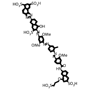 COc1cc(N=Nc2c(S(=O)(=O)O)cc3cc(-n4nc5ccc6c(S(=O)(=O)O)cc(S(=O)(=O)O)cc6c5n4)ccc3c2O)c(OC)cc1N=Nc1ccc(N=Nc2ccc(C(=O)Nc3ccc4cc(S(=O)(=O)O)cc(OCCCS(=O)(=O)O)c4c3)cc2OC)c(C)c1